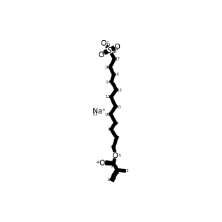 C=C(C)C(=O)OCCCCCCCCCCCCS(=O)(=O)[O-].[Na+]